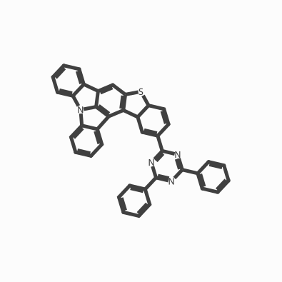 C1=CC2Sc3cc4c5ccccc5n5c6ccccc6c(c3C2C=C1c1nc(-c2ccccc2)nc(-c2ccccc2)n1)c45